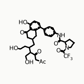 CC(=O)CC(=O)C(CO)C(CCO)CC1CC(=O)c2c(O)ccc(-c3ccc(NC(=O)C4CCCN4C(=O)C(F)(F)F)cc3)c2C1